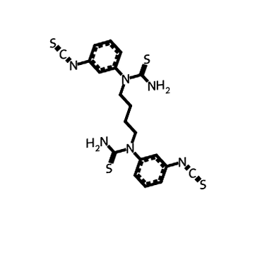 NC(=S)N(CCCCN(C(N)=S)c1cccc(N=C=S)c1)c1cccc(N=C=S)c1